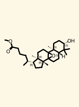 COC(=O)CCCC(C)[C@H]1CC[C@@]2(C)C34CC[C@H]5C(C)(C)[C@@H](O)CC[C@]5(C)C3(CC[C@]12C)O4